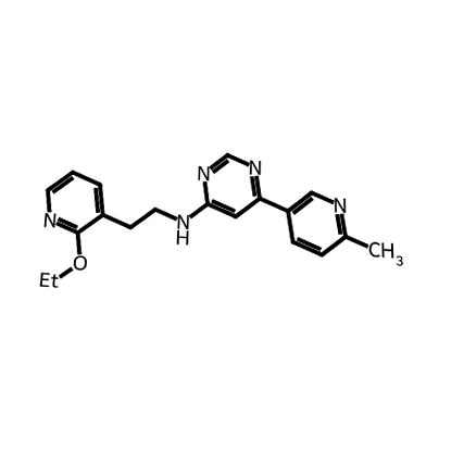 CCOc1ncccc1CCNc1cc(-c2ccc(C)nc2)ncn1